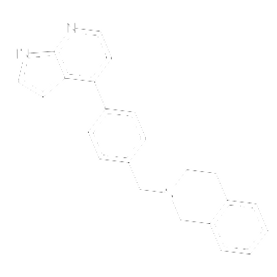 c1ccc2c(c1)CCN(Cc1ccc(-c3ccnc4[nH]ccc34)cc1)C2